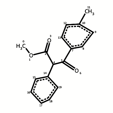 COC(=O)C(C(=O)c1ccc(C)cc1)c1ccccc1